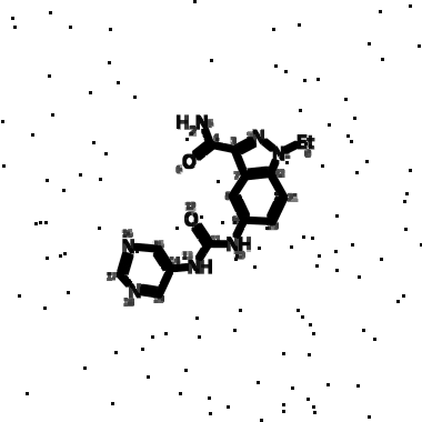 CCn1nc(C(N)=O)c2cc(NC(=O)Nc3cncnc3)ccc21